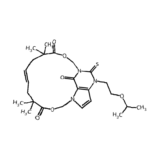 CC(C)OCCn1c(=S)n2c(=O)c3c1ccn3COC(=O)C(C)(C)C/C=C/CC(C)(C)C(=O)OC2